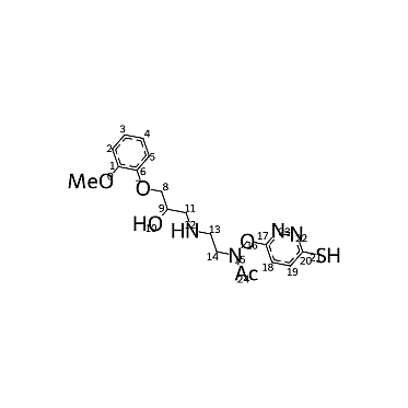 COc1ccccc1OCC(O)CNCCN(Oc1ccc(S)nn1)C(C)=O